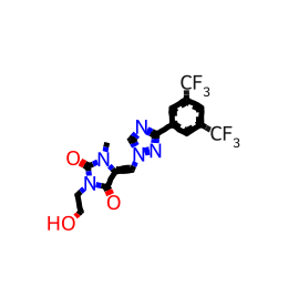 CN1C(=O)N(CCO)C(=O)C1=Cn1cnc(-c2cc(C(F)(F)F)cc(C(F)(F)F)c2)n1